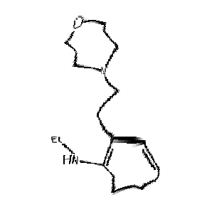 CCNC1=C(CCN2CCOCC2)C=CCC1